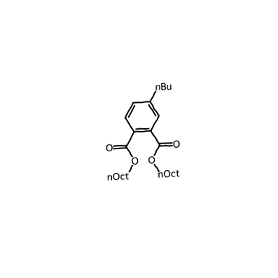 CCCCCCCCOC(=O)c1ccc(CCCC)cc1C(=O)OCCCCCCCC